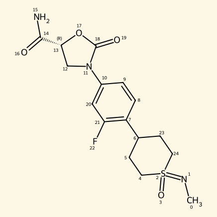 CN=S1(=O)CCC(c2ccc(N3C[C@H](C(N)=O)OC3=O)cc2F)CC1